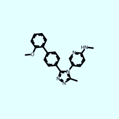 CNc1ccc(-n2c(C)nnc2-c2ccc(-c3ccccc3OC)cc2)cn1